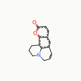 O=c1ccc2cc3c4c(c2o1)CCCN4CC=C3